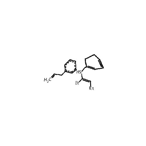 C=CCc1cccc([SiH](C2=CC=CCC2)/C(=C/CC)CC)c1